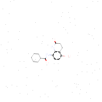 O=C1CCc2c(O)ccc(NC(=O)C3CCCCC3)c2N1